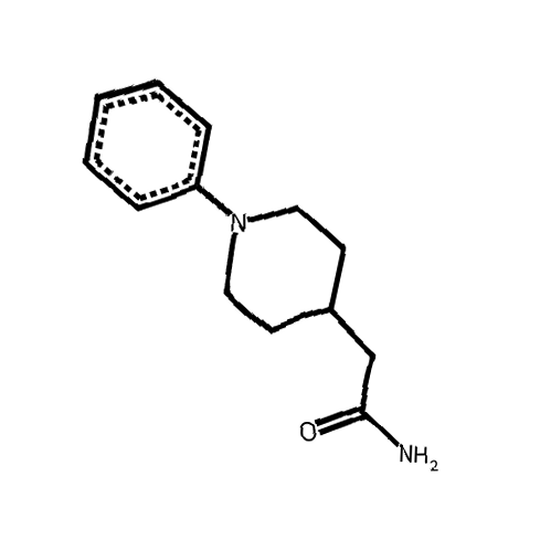 NC(=O)CC1CCN(c2ccccc2)CC1